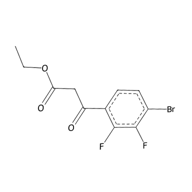 CCOC(=O)CC(=O)c1ccc(Br)c(F)c1F